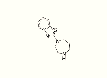 c1ccc2sc(N3CCCNCC3)nc2c1